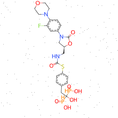 O=C(NC[C@H]1CN(c2ccc(N3CCOCC3)c(F)c2)C(=O)O1)Sc1ccc(CC(O)([PH](=O)O)[PH](=O)O)cc1